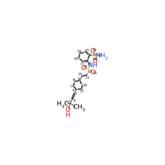 CC(C)(O)C#Cc1ccc(/C=C/S(=O)(=O)Nc2ccccc2S(N)(=O)=O)cc1